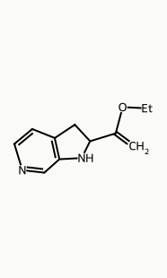 C=C(OCC)C1Cc2ccncc2N1